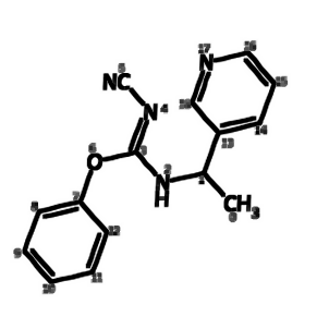 CC(N/C(=N/C#N)Oc1ccccc1)c1cccnc1